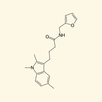 Cc1ccc2c(c1)c(CCCC(=O)NCc1ccco1)c(C)n2C